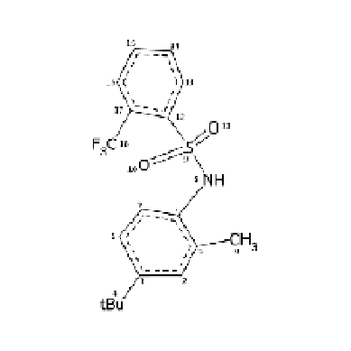 Cc1cc(C(C)(C)C)ccc1NS(=O)(=O)c1ccccc1C(F)(F)F